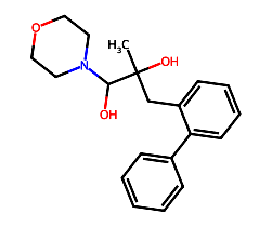 CC(O)(Cc1ccccc1-c1ccccc1)C(O)N1CCOCC1